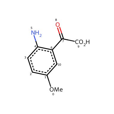 COc1ccc(N)c(C(=O)C(=O)O)c1